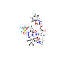 CC(C)(C)[C@H](NS(=O)(=O)C(F)(F)F)C(=O)N1C[C@H]2[C@@H]([C@H]1C(=O)N[C@@H](C[C@@H]1CCNC1=O)C(=O)COc1nc3cc(F)ccc3o1)C2(C)C